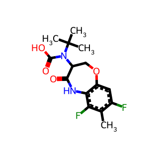 Cc1c(F)cc2c(c1F)NC(=O)C(N(C(=O)O)C(C)(C)C)CO2